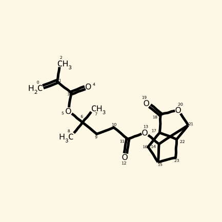 C=C(C)C(=O)OC(C)(C)CCC(=O)OC1C2CC3C(=O)OC1C3C2